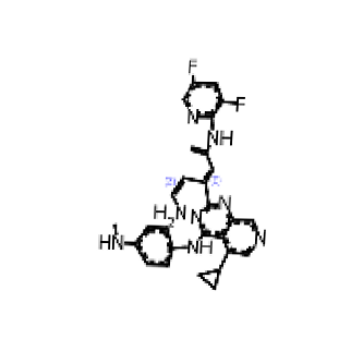 C=C(/C=C(\C=C/N)c1nc(Nc2ccc(NC)cc2)c2c(C3CC3)cncc2n1)Nc1ncc(F)cc1F